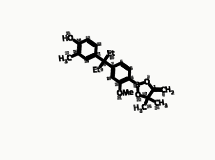 C=C1OB(c2ccc(C(CC)(CC)c3ccc(O)c(C)c3)cc2OC)OC1(C)C